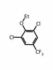 CCOc1c(Cl)cc(C(F)(F)F)cc1Cl